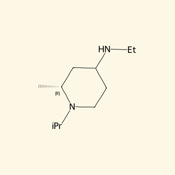 CCNC1CCN(C(C)C)[C@H](C)C1